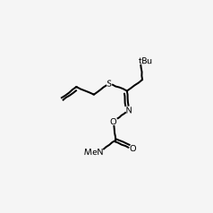 C=CCSC(CC(C)(C)C)=NOC(=O)NC